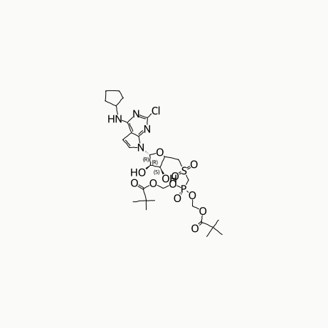 CC(C)(C)C(=O)OCOP(=O)(CS(=O)(=O)CC1O[C@@H](n2ccc3c(NC4CCCC4)nc(Cl)nc32)[C@H](O)[C@@H]1O)OCOC(=O)C(C)(C)C